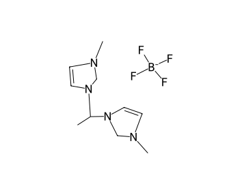 CC(N1C=CN(C)C1)N1C=CN(C)C1.F[B-](F)(F)F